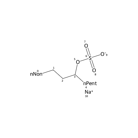 CCCCCCCCCCCC(CCCCC)OS(=O)(=O)[O-].[Na+]